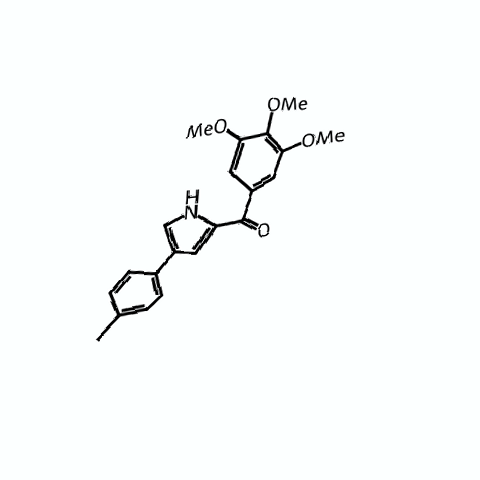 COc1cc(C(=O)c2cc(-c3ccc(C)cc3)c[nH]2)cc(OC)c1OC